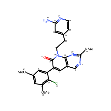 CNc1ncc2cc(-c3cc(OC)cc(OC)c3Cl)c(=O)n(CCc3ccnc(N)c3)c2n1